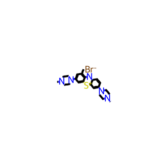 Cc1cc(N2CCN(C)CC2)cc2[s+]c3cc(N4CCN(C)CC4)ccc3nc12.[Br-]